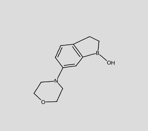 OB1CCc2ccc(N3CCOCC3)cc21